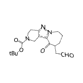 CC(C)(C)OC(=O)N1CCc2nn3c(c2C1)C(=O)C(CC=O)CCC3